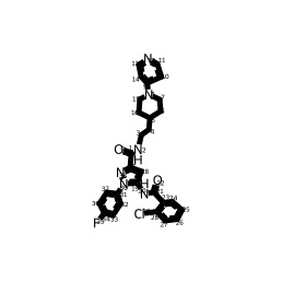 O=C(NCCC1CCN(c2ccncc2)CC1)c1cc(NC(=O)c2ccccc2Cl)n(-c2ccc(F)cc2)n1